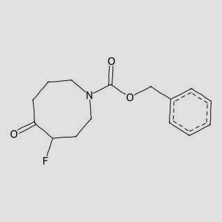 O=C1CCCN(C(=O)OCc2ccccc2)CCC1F